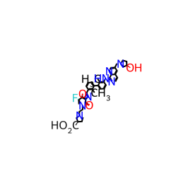 Cc1c(Nc2nccc3cc(CN4CC[C@@H](O)C4)cnc23)cccc1-c1cccc(-c2nc3c(=O)n(CCN4CC[C@@H](C(=O)O)C4)cc(F)c3o2)c1C